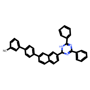 N#Cc1cccc(-c2ccc(-c3ccc4ccc(C5N=C(c6ccccc6)N=C(c6ccccc6)N5)cc4c3)cc2)c1